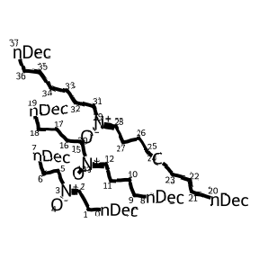 CCCCCCCCCCCC=[N+]([O-])CCCCCCCCCCCC.CCCCCCCCCCCCCC=[N+]([O-])CCCCCCCCCCCCCC.CCCCCCCCCCCCCCCCCC=[N+]([O-])CCCCCCCCCCCCCCCC